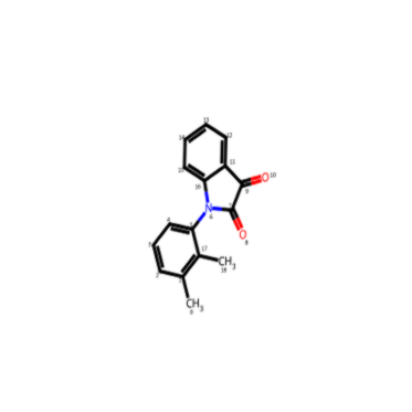 Cc1cccc(N2C(=O)C(=O)c3ccccc32)c1C